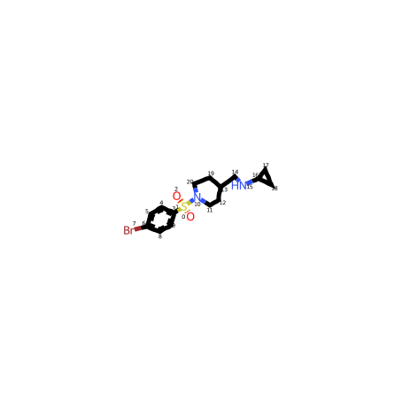 O=S(=O)(c1ccc(Br)cc1)N1CC[C](CNC2CC2)CC1